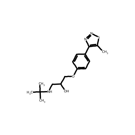 Cc1snnc1-c1ccc(OCC(O)CNC(C)(C)C)cc1